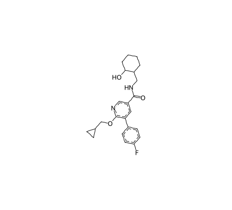 O=C(NCC1CCCCC1O)c1cnc(OCC2CC2)c(-c2ccc(F)cc2)c1